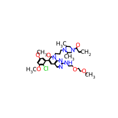 C=CC(=O)N1CC(C)N(CCCn2c(=O)c(-c3cc(OC)cc(OC)c3Cl)cc3cnc(NCCOCCOC)nc32)C(C)C1